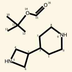 C1CC(C2CNC2)CCN1.CC(C)(C)OC=O